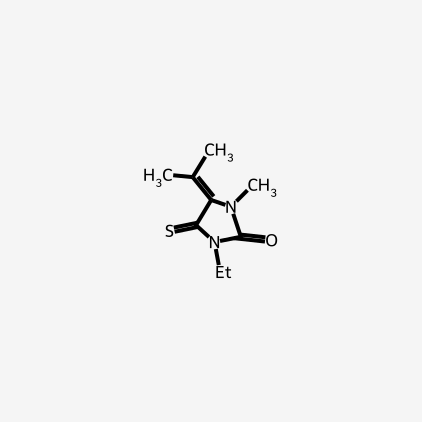 CCN1C(=O)N(C)C(=C(C)C)C1=S